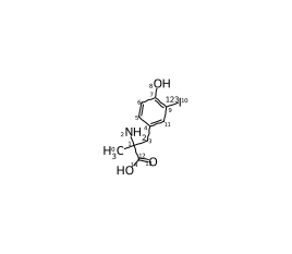 CC(N)(Cc1ccc(O)c([123I])c1)C(=O)O